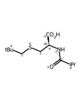 CC(C)C(=O)N[C@@H](CSCC(C)(C)C)C(=O)O